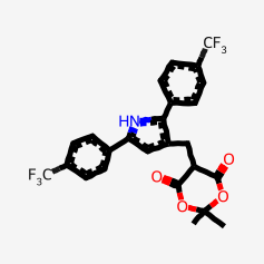 CC1(C)OC(=O)C(Cc2cc(-c3ccc(C(F)(F)F)cc3)[nH]c2-c2ccc(C(F)(F)F)cc2)C(=O)O1